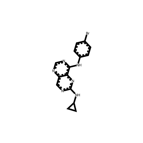 Brc1ccc(Nc2ncnc3cnc(NC4CC4)nc23)cc1